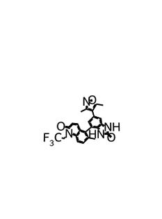 Cc1ccc2c(ccc(=O)n2CC(F)(F)F)c1-c1cc(-c2c(C)noc2C)cc2[nH]c(=O)[nH]c12